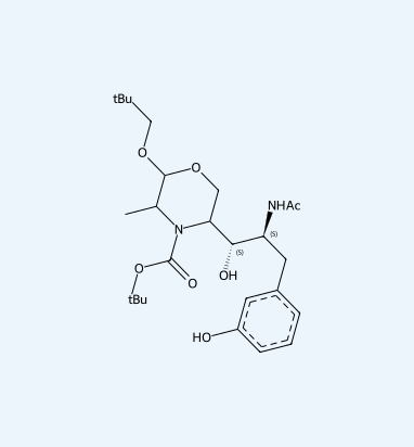 CC(=O)N[C@@H](Cc1cccc(O)c1)[C@H](O)C1COC(OCC(C)(C)C)C(C)N1C(=O)OC(C)(C)C